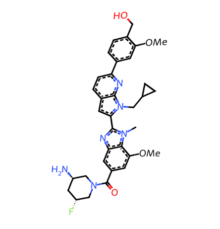 COc1cc(-c2ccc3cc(-c4nc5cc(C(=O)N6C[C@H](N)C[C@@H](F)C6)cc(OC)c5n4C)n(CC4CC4)c3n2)ccc1CO